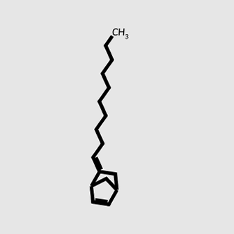 CCCCCCCCCC=C1CC2C=CC1C2